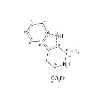 CCOC(=O)[C@@H]1Cc2c([nH]c3ccccc23)[C@H](C)N1